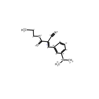 CCCOC(=O)/C(C#N)=C/c1cccc(N(C)C)c1